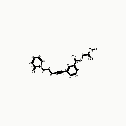 COC(=O)CNC(=O)c1cccc(C#CCCCn2ccccc2=O)c1